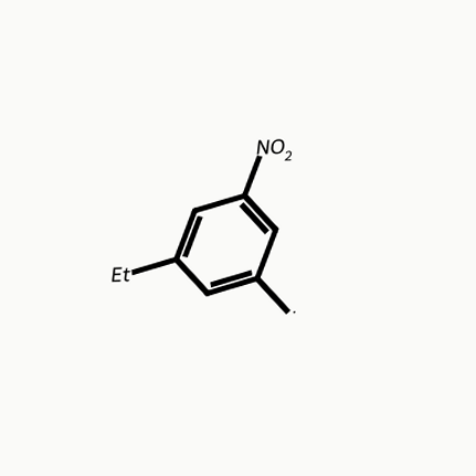 [CH2]c1cc(CC)cc([N+](=O)[O-])c1